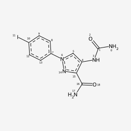 NC(=O)Nc1cn(-c2ccc(I)cc2)nc1C(N)=O